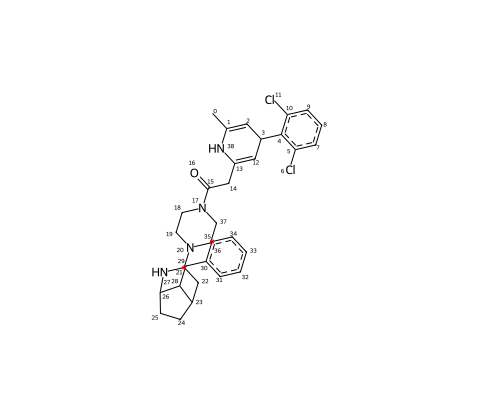 CC1=CC(c2c(Cl)cccc2Cl)C=C(CC(=O)N2CCN(C3CC4CCC(N3)C4Cc3ccccc3)CC2)N1